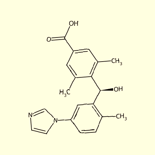 Cc1ccc(-n2ccnc2)cc1[C@H](O)c1c(C)cc(C(=O)O)cc1C